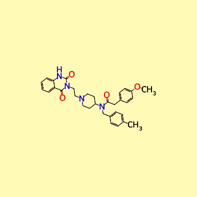 COc1ccc(CC(=O)N(Cc2ccc(C)cc2)C2CCN(CCn3c(=O)[nH]c4ccccc4c3=O)CC2)cc1